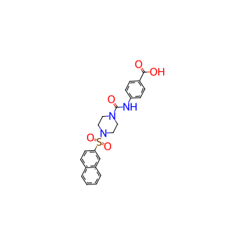 O=C(O)c1ccc(NC(=O)N2CCN(S(=O)(=O)c3ccc4ccccc4c3)CC2)cc1